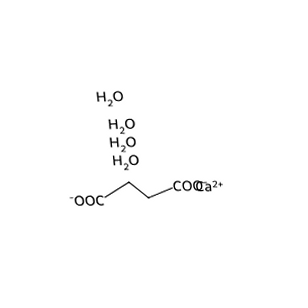 O.O.O.O.O=C([O-])CCC(=O)[O-].[Ca+2]